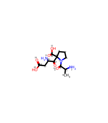 CC(N)C(=O)N1CCCC1(C(=O)O)C(=O)C(N)CC(=O)O